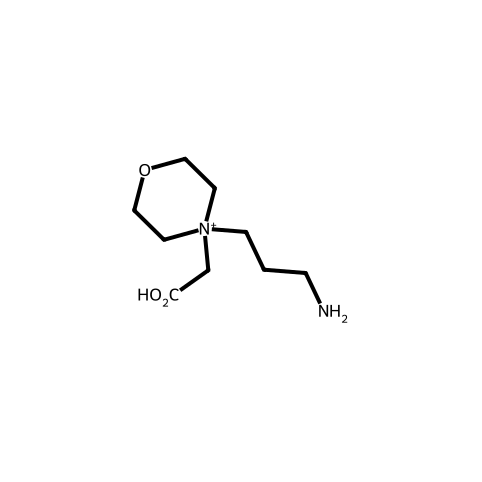 NCCC[N+]1(CC(=O)O)CCOCC1